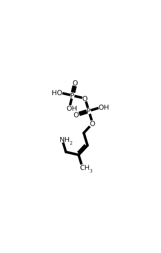 CC(=CCOP(=O)(O)OP(=O)(O)O)CN